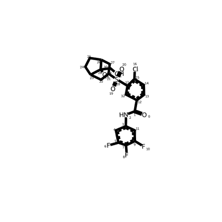 O=C(Nc1cc(F)c(F)c(F)c1)c1ccc(Cl)c(S(=O)(=O)C2CC3CCC(C2)C3(O)CO)c1